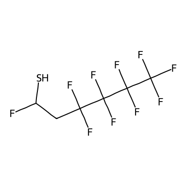 FC(S)CC(F)(F)C(F)(F)C(F)(F)C(F)(F)F